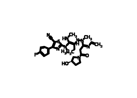 C=C/N=C(/CC(=O)N1CC[C@H](O)C1)N(C)N/C(CC)=C(\NC)N(C)c1nc(-c2ccc(F)cc2)c(C#N)s1